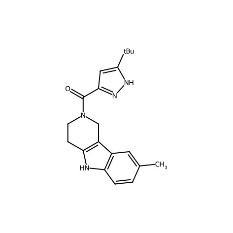 Cc1ccc2[nH]c3c(c2c1)CN(C(=O)c1cc(C(C)(C)C)[nH]n1)CC3